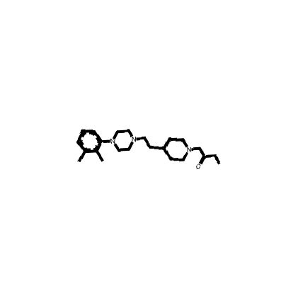 CCC(=O)CN1CCC(CCN2CCN(c3cccc(C)c3C)CC2)CC1